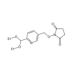 CCOC(OCC)c1ccc(CON2C(=O)CCC2=O)cn1